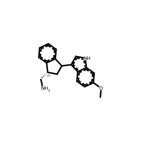 COc1ccc2c(C3C[C@H](CN)c4ccccc43)c[nH]c2c1